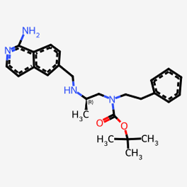 C[C@H](CN(CCc1ccccc1)C(=O)OC(C)(C)C)NCc1ccc2c(N)nccc2c1